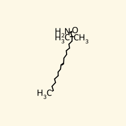 CCCCCCCC/C=C/CCCCCCC(C)(C)C(N)=O